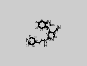 N#Cc1cnc(NCCc2ccncc2)nc1-n1cnc2ccccc21